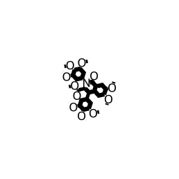 COC(=O)c1c(-c2cc(OC)c(OC)c(OC)c2)c2cc(OC)c(OC)cc2c(=O)n1-c1cc(OC)c(OC)c(OC)c1